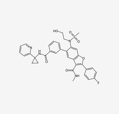 CNC(=O)c1c(-c2ccc(F)cc2)oc2cc(N(CCO)S(C)(=O)=O)c(-c3cccc(C(=O)NC4(c5ccccn5)CC4)c3)cc12